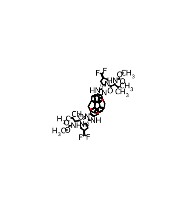 COC(=O)NC(C(=O)N1CC(=C(F)F)C[C@H]1c1nc2cc(-c3cc4ccc3CCc3ccc(c(-c5ccc6[nH]c([C@@H]7CC(=C(F)F)CN7C(=O)C(NC(=O)OC)C(C)C)nc6c5)c3)CC4)ccc2[nH]1)C(C)C